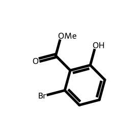 COC(=O)c1c(O)cccc1Br